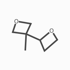 CC1(C2CCO2)COC1